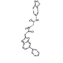 O=C(Cc1nc2ccc(-c3ccccc3)cc2s1)NCC(=O)Nc1ccc2ncoc2c1